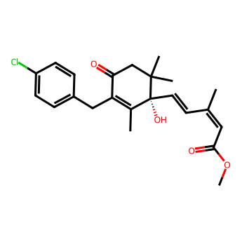 COC(=O)/C=C(C)\C=C\[C@@]1(O)C(C)=C(Cc2ccc(Cl)cc2)C(=O)CC1(C)C